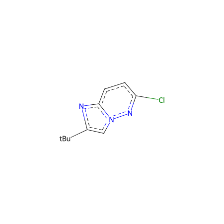 CC(C)(C)c1cn2nc(Cl)ccc2n1